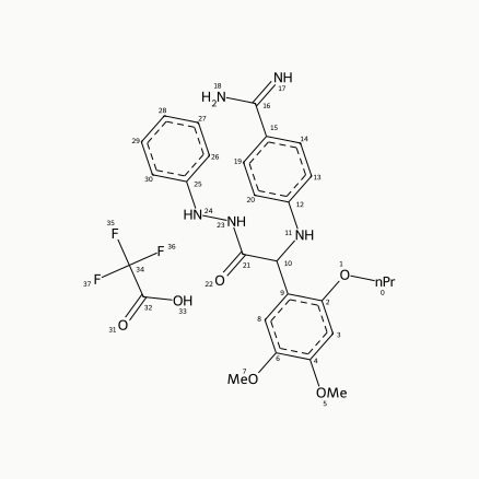 CCCOc1cc(OC)c(OC)cc1C(Nc1ccc(C(=N)N)cc1)C(=O)NNc1ccccc1.O=C(O)C(F)(F)F